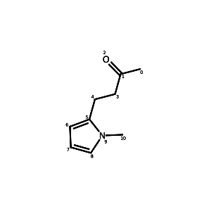 CC(=O)CCc1cccn1C